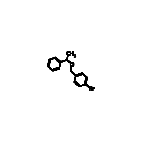 CC(OCc1ccc(Br)cc1)c1ccccc1